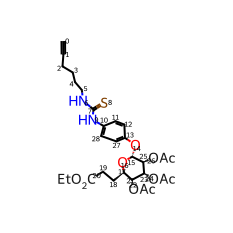 C#CCCCCNC(=S)Nc1ccc(O[C@H]2O[C@H](CCC(=O)OCC)[C@@H](OC(C)=O)[C@H](OC(C)=O)[C@@H]2OC(C)=O)cc1